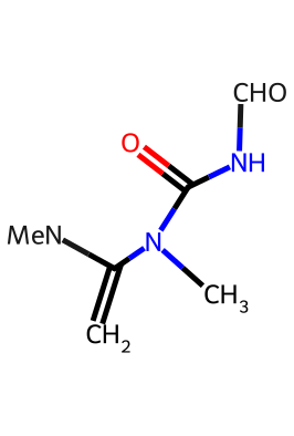 C=C(NC)N(C)C(=O)NC=O